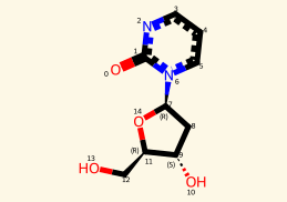 O=c1ncccn1[C@H]1C[C@H](O)[C@@H](CO)O1